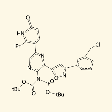 CC(C)c1[nH]c(=O)ccc1-c1cnc(N(C(=O)OC(C)(C)C)C(=O)OC(C)(C)C)c(-c2cc(-c3cccc(CCl)c3)no2)n1